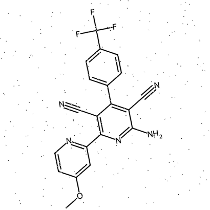 COc1ccnc(-c2nc(N)c(C#N)c(-c3ccc(C(F)(F)F)cc3)c2C#N)c1